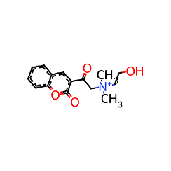 C[N+](C)(CCO)CC(=O)c1cc2ccccc2oc1=O